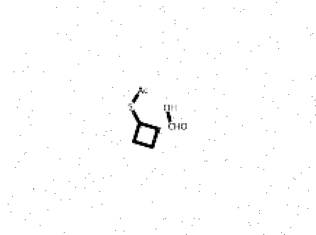 CC(=O)SC1CCC1.O=CO